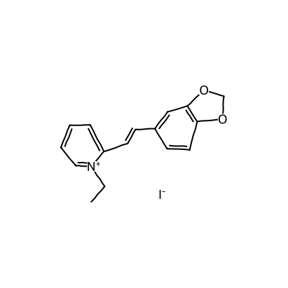 CC[n+]1ccccc1/C=C/c1ccc2c(c1)OCO2.[I-]